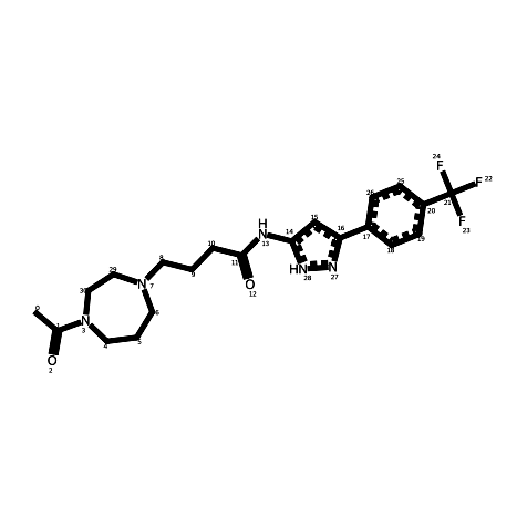 CC(=O)N1CCCN(CCCC(=O)Nc2cc(-c3ccc(C(F)(F)F)cc3)n[nH]2)CC1